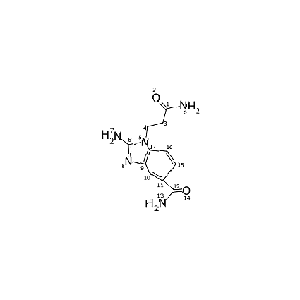 NC(=O)CCn1c(N)nc2cc(C(N)=O)ccc21